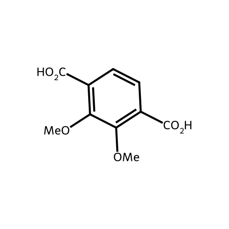 COc1c(C(=O)O)ccc(C(=O)O)c1OC